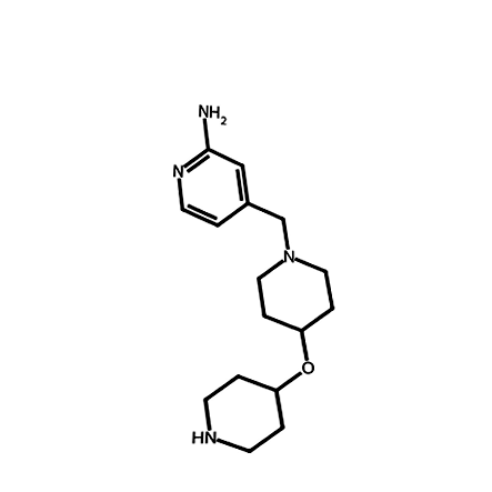 Nc1cc(CN2CCC(OC3CCNCC3)CC2)ccn1